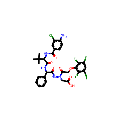 CC(C)(C)C(NC(=O)c1ccc(N)c(Cl)c1)C(=O)NC(C(=O)NN(CC(=O)O)C(=O)COc1c(F)c(F)cc(F)c1F)c1ccccc1